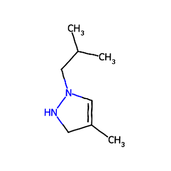 CC1=CN(CC(C)C)NC1